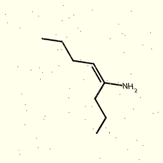 CCC/C=C(/N)CCC